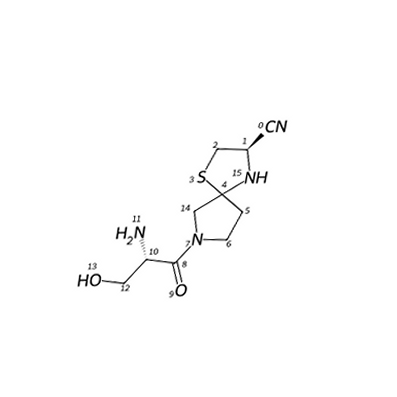 N#C[C@@H]1CSC2(CCN(C(=O)[C@@H](N)CO)C2)N1